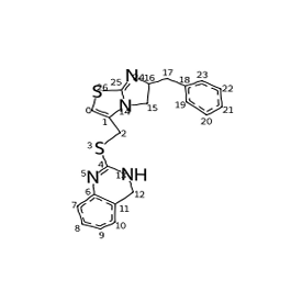 C1=C(CSC2=Nc3ccccc3CN2)N2CC(Cc3ccccc3)N=C2S1